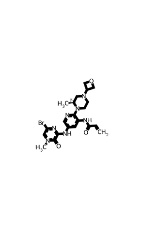 C=CC(=O)Nc1cc(Nc2nc(Br)cn(C)c2=O)cnc1N1CCN(C2COC2)C[C@@H]1C